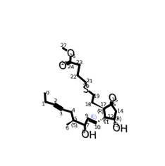 CCC#CC[C@H](C)C(O)/C=C/[C@H]1[C@H](O)CC(=O)[C@@H]1CCSCCCC(=O)OC